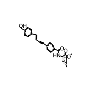 CNC[C@H](NC(=O)c1ccc(C#C/C=C/c2ccc(CO)cc2)cc1)C(=O)OC